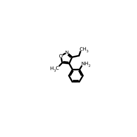 CCc1noc(C)c1-c1ccccc1N